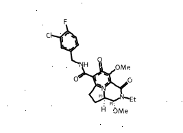 CCN1C(=O)c2c(OC)c(=O)c(C(=O)NCc3ccc(F)c(Cl)c3)c3n2[C@H](CC3)[C@H]1OC